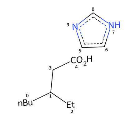 CCCCC(CC)CC(=O)O.c1c[nH]cn1